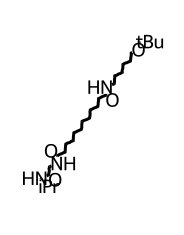 CC(C)NC(=O)CNC(=O)CCCCCCCCCCC(=O)NCCCCCCOC(C)(C)C